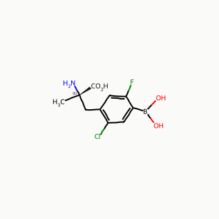 C[C@](N)(Cc1cc(F)c(B(O)O)cc1Cl)C(=O)O